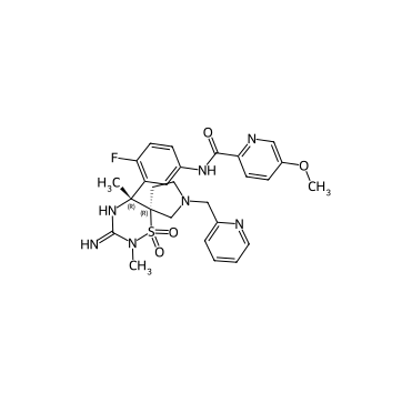 COc1ccc(C(=O)Nc2ccc(F)c([C@@]3(C)NC(=N)N(C)S(=O)(=O)[C@@]34CCN(Cc3ccccn3)C4)c2)nc1